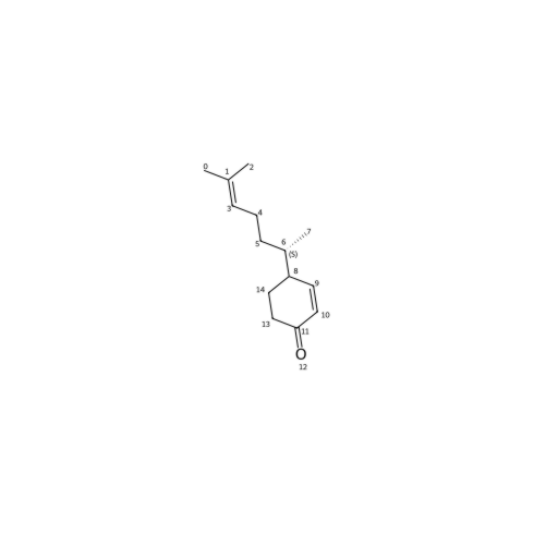 CC(C)=CCC[C@H](C)C1C=CC(=O)CC1